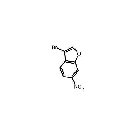 O=[N+]([O-])c1ccc2c(Br)coc2c1